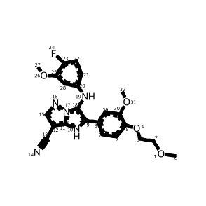 COCCOc1ccc(-c2[nH]c3c(C#N)cnn3c2Nc2ccc(F)c(OC)c2)cc1OC